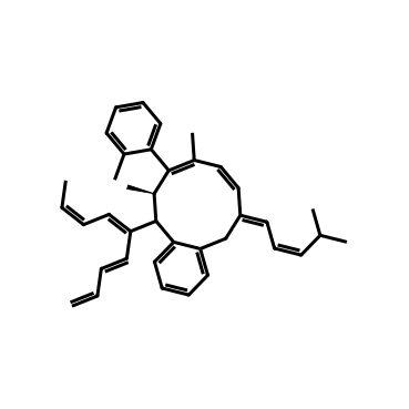 C=C/C=C/C(=C\C=C/C)C1c2ccccc2CC(=C\C=C/C(C)C)/C=C\C(C)=C(\c2ccccc2C)[C@@H]1C